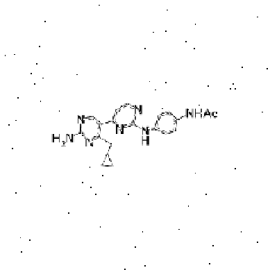 CC(=O)Nc1ccc(Nc2nccc(-c3cnc(N)nc3CC3CC3)n2)cc1